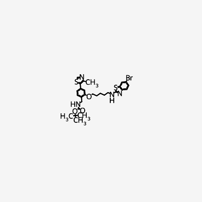 Cc1ncsc1-c1ccc(CNC(=O)OC(C)(C)C)c(OCCCCCNc2nc3ccc(Br)cc3s2)c1